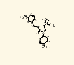 CC1CCC(N(CCN(C)C)C(=O)C=Cc2cccc([N+](=O)[O-])c2)CC1